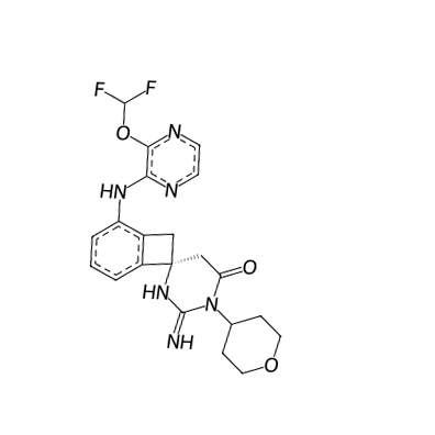 N=C1N[C@]2(CC(=O)N1C1CCOCC1)Cc1c(Nc3nccnc3OC(F)F)cccc12